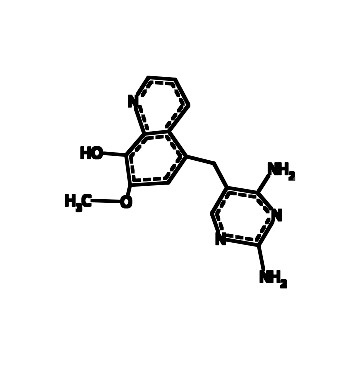 COc1cc(Cc2cnc(N)nc2N)c2cccnc2c1O